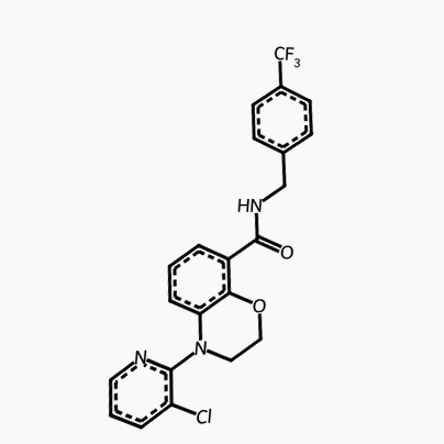 O=C(NCc1ccc(C(F)(F)F)cc1)c1cccc2c1OCCN2c1ncccc1Cl